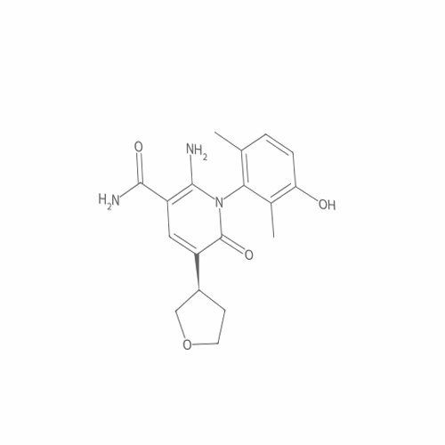 Cc1ccc(O)c(C)c1-n1c(N)c(C(N)=O)cc([C@H]2CCOC2)c1=O